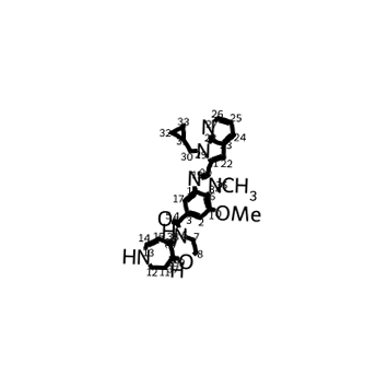 COc1cc(C(=O)N2CCO[C@@H]3CCNC=C[C@@H]32)cc2nc(-c3cc4cccnc4n3CC3CC3)n(C)c12